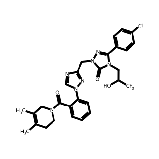 CC1=C(C)CN(C(=O)c2ccccc2-n2cnc(Cn3nc(-c4ccc(Cl)cc4)n(CC(O)C(F)(F)F)c3=O)n2)CC1